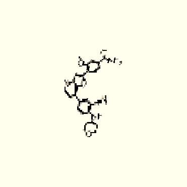 COc1cc(C(N)=O)ccc1-c1cc2nccc(-c3ccc(NC4CCOCC4)c(C#N)c3)c2o1